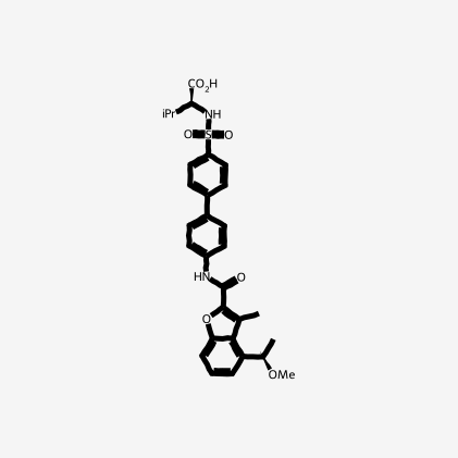 CO[C@H](C)c1cccc2oc(C(=O)Nc3ccc(-c4ccc(S(=O)(=O)N[C@H](C(=O)O)C(C)C)cc4)cc3)c(C)c12